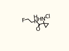 O=C(NCCF)C1(NCl)CC1